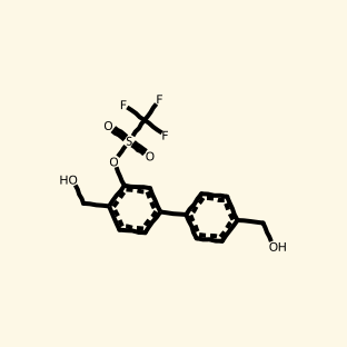 O=S(=O)(Oc1cc(-c2ccc(CO)cc2)ccc1CO)C(F)(F)F